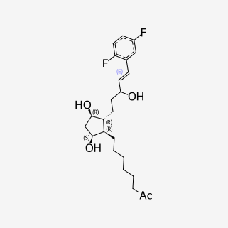 CC(=O)CCCCCC[C@@H]1[C@@H](CCC(O)/C=C/c2cc(F)ccc2F)[C@H](O)C[C@@H]1O